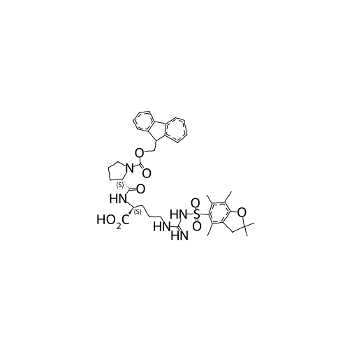 Cc1c(C)c(S(=O)(=O)NC(=N)NCCC[C@H](NC(=O)[C@@H]2CCCN2C(=O)OCC2c3ccccc3-c3ccccc32)C(=O)O)c(C)c2c1OC(C)(C)C2